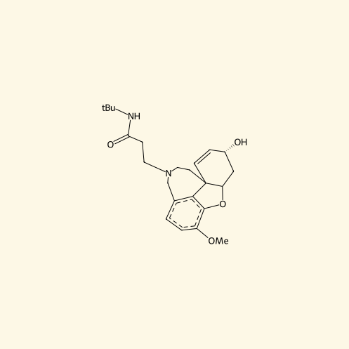 COc1ccc2c3c1OC1C[C@@H](O)C=CC31CCN(CCC(=O)NC(C)(C)C)C2